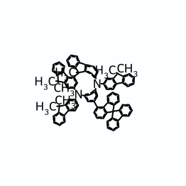 CC1(C)c2ccccc2-c2ccc(N3c4cc(-c5cccc6c5-c5ccccc5C65c6ccccc6-c6ccccc65)cc(c4)N(c4ccc5c(c4)C(C)(C)c4ccccc4-5)c4cc5c(c(c4)C4(C)c6ccccc6-c6ccc3cc64)-c3ccccc3C5(C)C)cc21